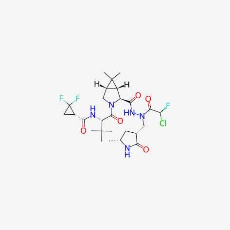 C[C@@H]1C[C@H](CN(NC(=O)[C@@H]2[C@@H]3[C@H](CN2C(=O)[C@@H](NC(=O)[C@@H]2CC2(F)F)C(C)(C)C)C3(C)C)C(=O)[C@@H](F)Cl)C(=O)N1